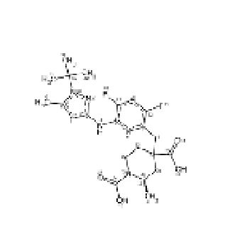 Cc1cc(Nc2nc(CC3(C(=O)O)CCN(C(=O)O)[C@H](C)C3)c(F)cc2F)nn1C(C)(C)C